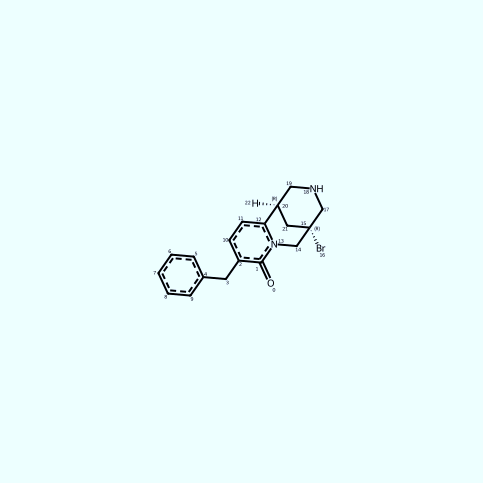 O=c1c(Cc2ccccc2)ccc2n1C[C@]1(Br)CNC[C@H]2C1